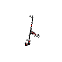 CCCCCCCCCCCCCCCCCOCOCC(COP(=O)(O)OCCN(C)CC)OCOCCCCCNC(=O)Cc1ccccc1Nc1c(Cl)cccc1Cl